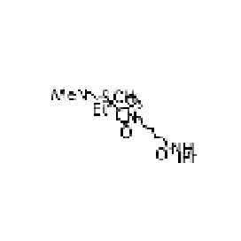 CCC(C)(SCCNC)C1CC(=O)N(CCCCCC(=O)NC(C)C)C1=O